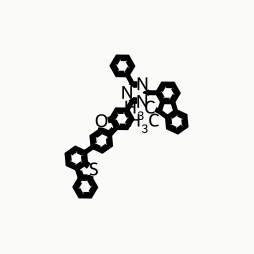 CC1(C)c2ccccc2-c2cccc(-c3nc(-c4ccccc4)nc(-c4ccc5c(c4)oc4cc(-c6cccc7c6sc6ccccc67)ccc45)n3)c21